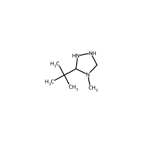 CN1CNNC1C(C)(C)C